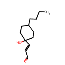 CCCCC1CCC(O)(C=CC=O)CC1